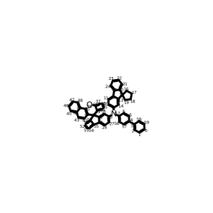 c1ccc(-c2ccc(N(c3ccc4c(c3)C3(CCCC3)c3ccccc3-4)c3ccc4c(c3)C3(c5ccccc5Oc5c3ccc3ccccc53)c3ccccc3-4)cc2)cc1